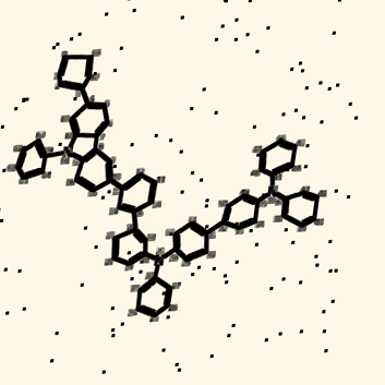 c1ccc(-c2ccc3c4cc(-c5cccc(-c6cccc(N(c7ccccc7)c7ccc(-c8ccc(N(c9ccccc9)c9ccccc9)cc8)cc7)c6)c5)ccc4n(-c4ccccc4)c3c2)cc1